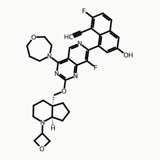 C#Cc1c(F)ccc2cc(O)cc(-c3ncc4c(N5CCCOCC5)nc(OC[C@]56CCC[C@H]5N(C5COC5)CCC6)nc4c3F)c12